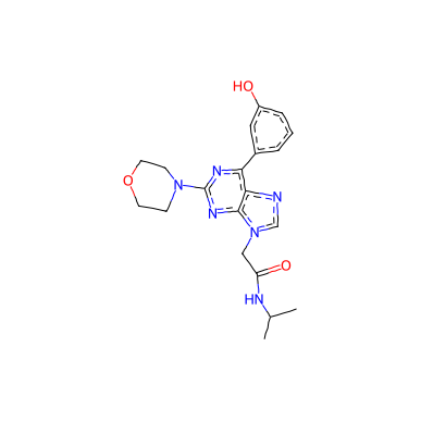 CC(C)NC(=O)Cn1cnc2c(-c3cccc(O)c3)nc(N3CCOCC3)nc21